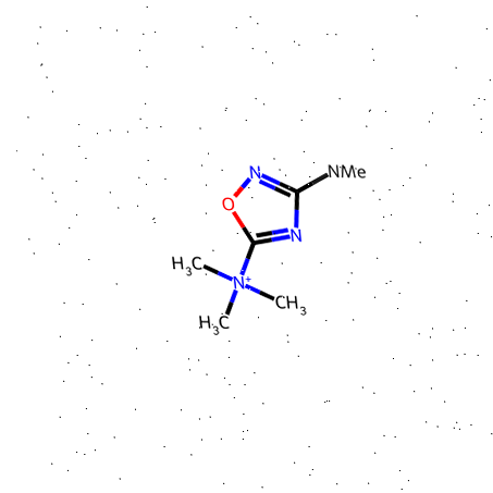 CNc1noc([N+](C)(C)C)n1